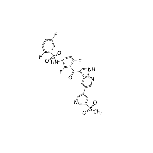 CS(=O)(=O)c1cncc(-c2cnc3[nH]cc(C(=O)c4c(F)ccc(NS(=O)(=O)c5cc(F)ccc5F)c4F)c3c2)c1